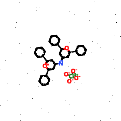 [O-][Cl+3]([O-])([O-])[O-].c1ccc(-c2cc(=Nc3cc(-c4ccccc4)[o+]c(-c4ccccc4)c3)cc(-c3ccccc3)o2)cc1